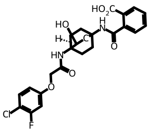 O=C(COc1ccc(Cl)c(F)c1)NC12CCC(NC(=O)c3ccccc3C(=O)O)(CC1)C[C@@H]2O